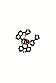 C1=CC(c2cccc3ccc4c5ccccc5oc4c23)=NC(c2cccc3oc4cccc(-c5ccccc5)c4c23)=NC=1c1cccc(-c2ccccc2)c1